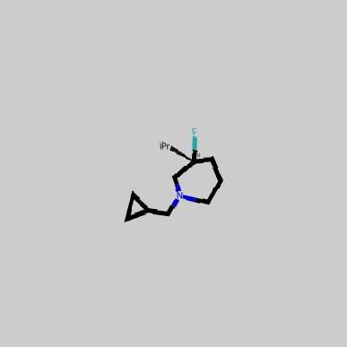 CC(C)[C@@]1(F)CCCN(CC2CC2)C1